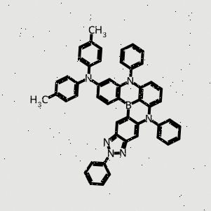 Cc1ccc(N(c2ccc(C)cc2)c2ccc3c(c2)N(c2ccccc2)c2cccc4c2B3c2cc3nn(-c5ccccc5)nc3cc2N4c2ccccc2)cc1